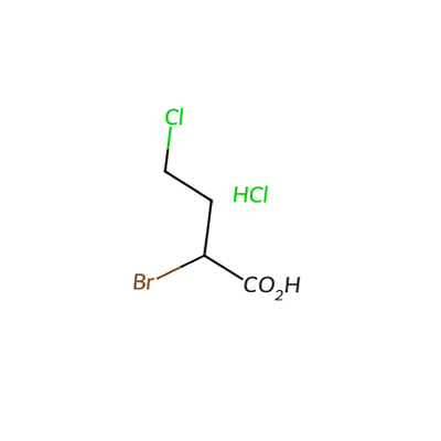 Cl.O=C(O)C(Br)CCCl